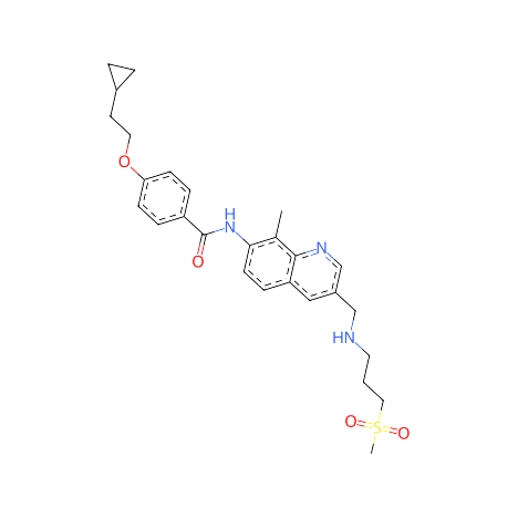 Cc1c(NC(=O)c2ccc(OCCC3CC3)cc2)ccc2cc(CNCCCS(C)(=O)=O)cnc12